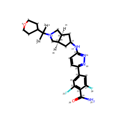 [2H]C([2H])(C1CCOCC1)N1C[C@H]2CC(Nc3ccc(-c4cc(F)c(C(N)=O)c(F)c4)nn3)C[C@H]2C1